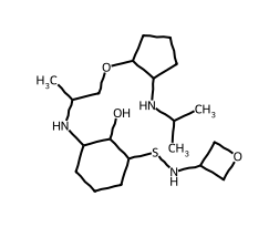 CC(C)NC1CCCC1OCC(C)NC1CCCC(SNC2COC2)C1O